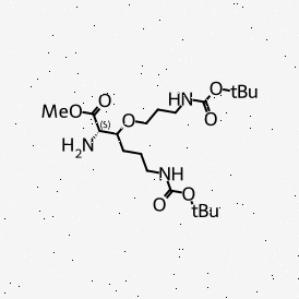 COC(=O)[C@@H](N)C(CCCNC(=O)OC(C)(C)C)OCCCNC(=O)OC(C)(C)C